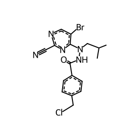 CC(C)CN(NC(=O)c1ccc(CCl)cc1)c1nc(C#N)ncc1Br